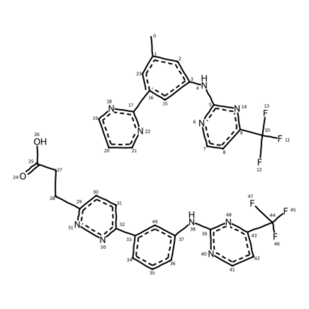 Cc1cc(Nc2nccc(C(F)(F)F)n2)cc(-c2ncccn2)c1.O=C(O)CCc1ccc(-c2cccc(Nc3nccc(C(F)(F)F)n3)c2)nn1